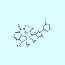 CN(C(=O)c1cccc(OC(F)(F)F)c1)[C@@H]1OC(CO)[C@H](O)C(n2cc(-c3cccc(F)c3)nn2)C1O